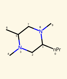 CCCC1CN(C)C(C)CN1C